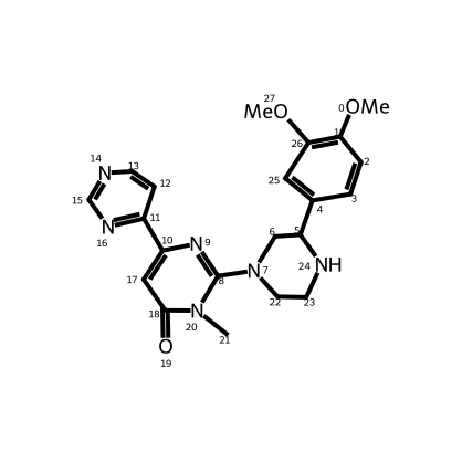 COc1ccc(C2CN(c3nc(-c4ccncn4)cc(=O)n3C)CCN2)cc1OC